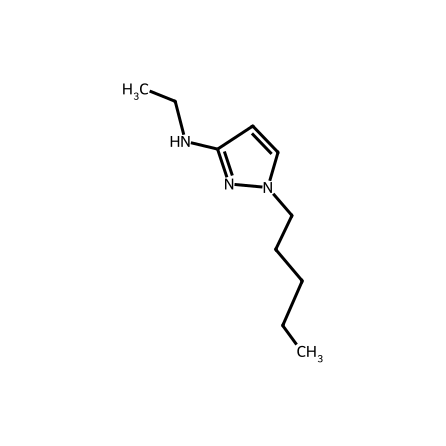 CCCCCn1ccc(NCC)n1